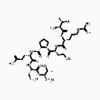 C[C@@H](O)[C@H](N)C(=O)N[C@@H](CCCNC(=N)N)C(=O)N[C@@H](CCC(=O)O)C(=O)N1CCC[C@H]1C(=O)N[C@@H](CCC(N)=O)C(=O)N[C@@H](CC(=O)O)C(=O)N[C@H](C(=O)O)[C@@H](C)O